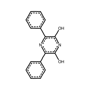 Oc1nc(O)c(-c2ccccc2)nc1-c1ccccc1